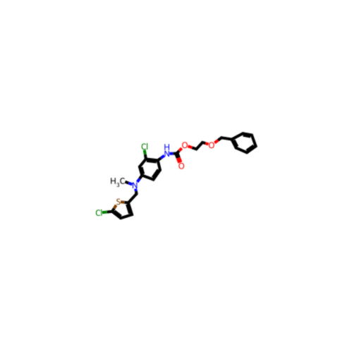 CN(Cc1ccc(Cl)s1)c1ccc(NC(=O)OCCOCc2ccccc2)c(Cl)c1